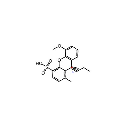 C=Cc1cccc(OC)c1Oc1c(S(=O)(=O)O)ccc(C)c1/C=C/CC